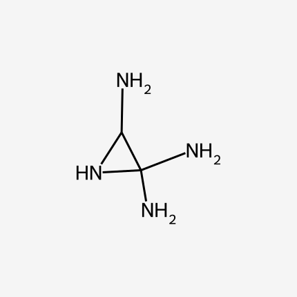 NC1NC1(N)N